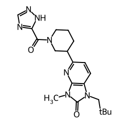 Cn1c(=O)n(CC(C)(C)C)c2ccc(C3CCCN(C(=O)c4ncn[nH]4)C3)nc21